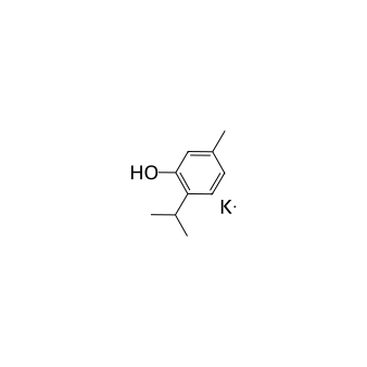 Cc1ccc(C(C)C)c(O)c1.[K]